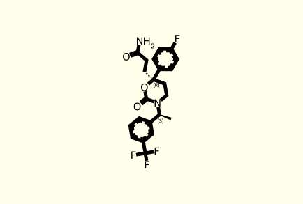 C[C@@H](c1cccc(C(F)(F)F)c1)N1CC[C@](CCC(N)=O)(c2ccc(F)cc2)OC1=O